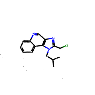 CC(C)Cn1c(CCl)nc2cnc3ccccc3c21